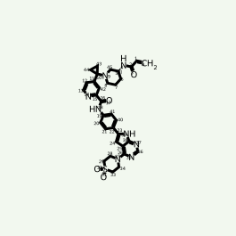 C=CC(=O)N[C@@H]1CCCN(C2(c3ccnc(C(=O)Nc4ccc(-c5cc6c(N7CCS(=O)(=O)CC7)ncnc6[nH]5)cc4)c3)CC2)C1